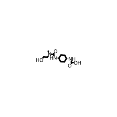 CN(CCO)C(=O)N[C@H]1CC[C@H](NC(=O)O)CC1